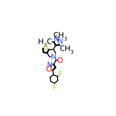 Cc1nn(C)c(C)c1C1CN(C(=O)c2cc(C3CCC(F)CC3F)on2)Cc2ccsc21